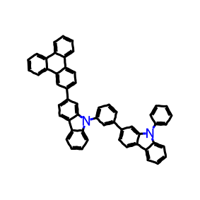 c1ccc(-n2c3ccccc3c3ccc(-c4cccc(-n5c6ccccc6c6ccc(-c7ccc8c9ccccc9c9ccccc9c8c7)cc65)c4)cc32)cc1